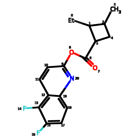 CCC1C(C)CC1C(=O)Oc1ccc2c(F)c(F)ccc2n1